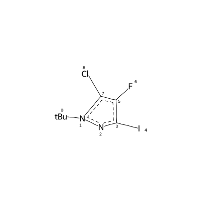 CC(C)(C)n1nc(I)c(F)c1Cl